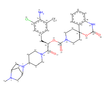 CN1CC2CC1CN2C1CCN(C(=O)[C@@H](Cc2cc(Cl)c(N)c(C(F)(F)F)c2)OC(=O)N2CCC3(CC2)OC(=O)Nc2ccccc23)CC1